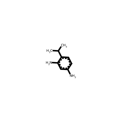 CC(C)c1c[c]c(N)cc1N